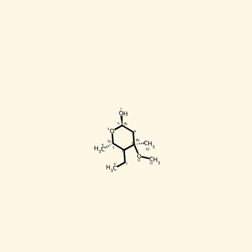 CCC1[C@H](C)O[C@@H](O)C[C@@]1(C)OC